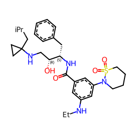 CCNc1cc(C(=O)N[C@@H](Cc2ccccc2)[C@H](O)CNC2(CC(C)C)CC2)cc(N2CCCCS2(=O)=O)c1